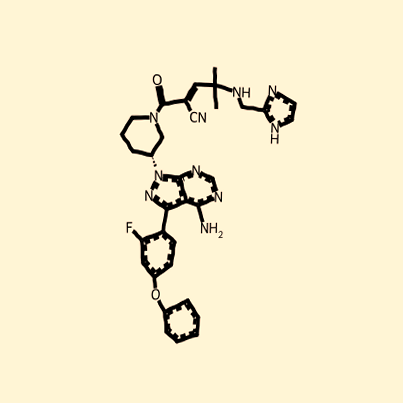 CC(C)(/C=C(\C#N)C(=O)N1CCC[C@@H](n2nc(-c3ccc(Oc4ccccc4)cc3F)c3c(N)ncnc32)C1)NCc1ncc[nH]1